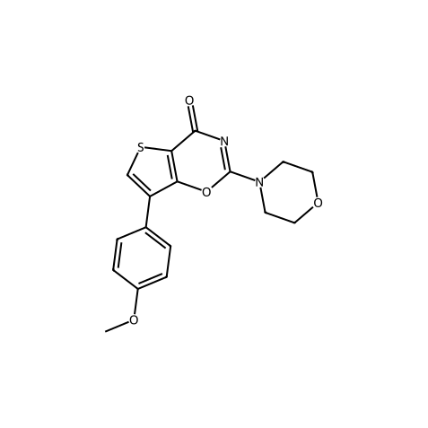 COc1ccc(-c2csc3c(=O)nc(N4CCOCC4)oc23)cc1